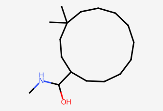 CNC(O)C1CCCCCCCCCC(C)(C)CC1